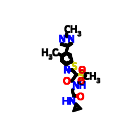 Cc1ncc(-c2cc3sc(C(C(=O)NCC(=O)NC4CC4)S(C)(=O)=O)nc3cc2C)cn1